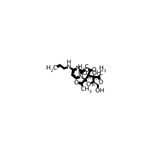 C=CCNc1ccn([C@]2(C(C)=O)O[C@H](CO)[C@](O)(C(C)=O)[C@]2(O)C(C)=O)c(=O)n1